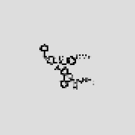 COc1ccc(CC(=O)N(C2CCN(Cc3ccccc3)CC2)C(C)c2cccc(-c3ccccc3C(=O)NCCN)c2)cc1